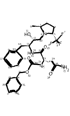 C[C@H]1CC[C@H](C(F)(F)F)N1C[C@@H](O)[C@H](Cc1ccccc1)NC(=O)[C@H](CC(N)=O)NC(=O)OCc1ccccc1